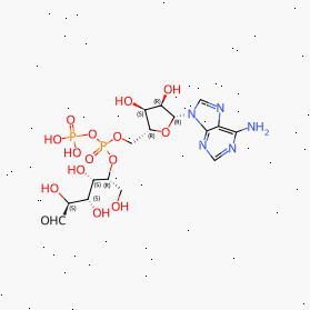 Nc1ncnc2c1ncn2[C@@H]1O[C@H](COP(=O)(O[C@H](CO)[C@@H](O)[C@H](O)[C@H](O)C=O)OP(=O)(O)O)[C@@H](O)[C@H]1O